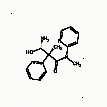 CN(C(=O)[C@](C)(c1ccccc1)[C@@H](N)O)c1ccccn1